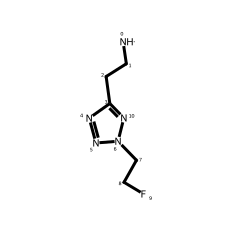 [NH]CCc1nnn(CCF)n1